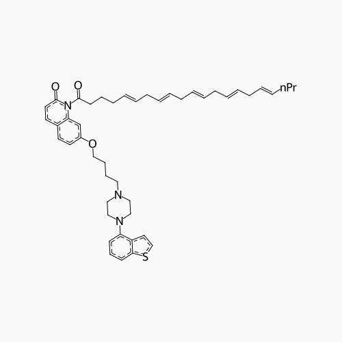 CCCC=CCC=CCC=CCC=CCC=CCCCC(=O)n1c(=O)ccc2ccc(OCCCCN3CCN(c4cccc5sccc45)CC3)cc21